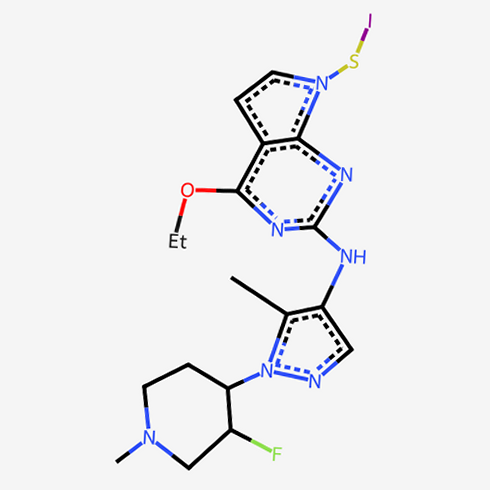 CCOc1nc(Nc2cnn(C3CCN(C)CC3F)c2C)nc2c1ccn2SI